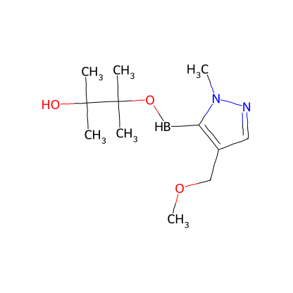 COCc1cnn(C)c1BOC(C)(C)C(C)(C)O